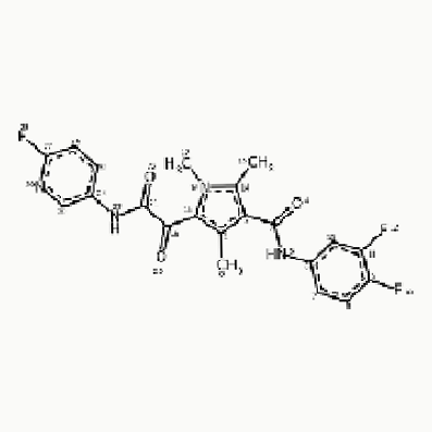 Cc1c(C(=O)Nc2ccc(F)c(F)c2)c(C)n(C)c1C(=O)C(=O)Nc1ccc(F)nc1